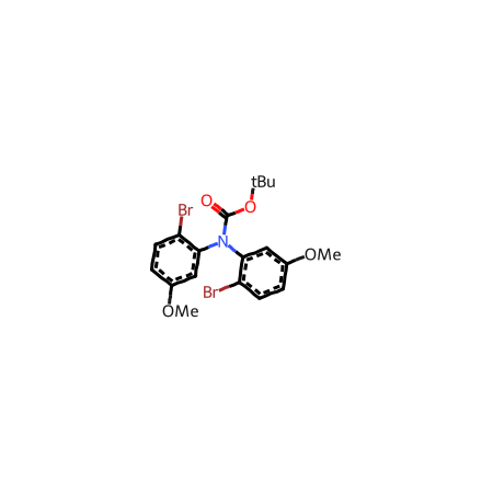 COc1ccc(Br)c(N(C(=O)OC(C)(C)C)c2cc(OC)ccc2Br)c1